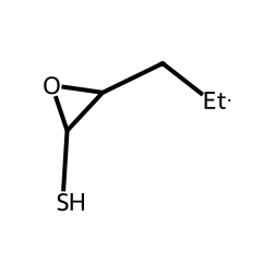 C[CH]CC1OC1S